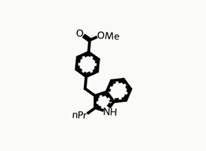 CCCc1[nH]c2ccccc2c1Cc1ccc(C(=O)OC)cc1